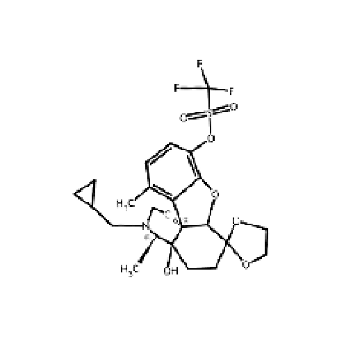 Cc1ccc(OS(=O)(=O)C(F)(F)F)c2c1[C@]13CCN(CC4CC4)[C@H](C)C1(O)CCC1(OCCO1)C3O2